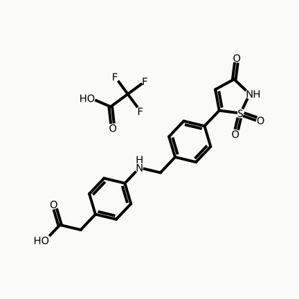 O=C(O)C(F)(F)F.O=C(O)Cc1ccc(NCc2ccc(C3=CC(=O)NS3(=O)=O)cc2)cc1